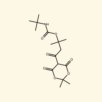 CC(C)(C)NC(=O)OC(C)(C)CC(=O)C1C(=O)OC(C)(C)OC1=O